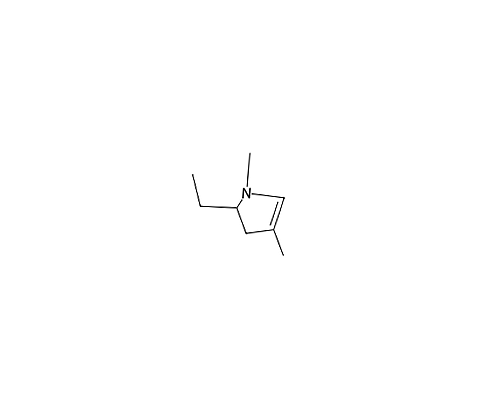 CCC1CC(C)=CN1C